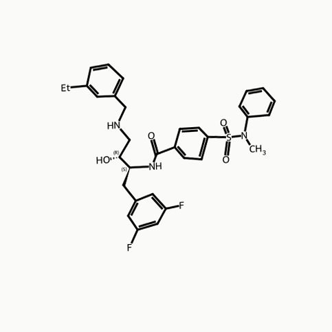 CCc1cccc(CNC[C@@H](O)[C@H](Cc2cc(F)cc(F)c2)NC(=O)c2ccc(S(=O)(=O)N(C)c3ccccc3)cc2)c1